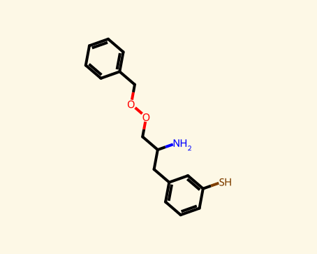 NC(COOCc1ccccc1)Cc1cccc(S)c1